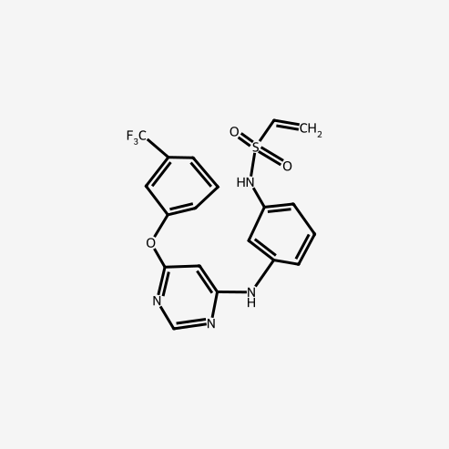 C=CS(=O)(=O)Nc1cccc(Nc2cc(Oc3cccc(C(F)(F)F)c3)ncn2)c1